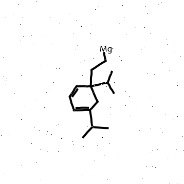 CC(C)C1=CC=CC(C[CH2][Mg])(C(C)C)C1